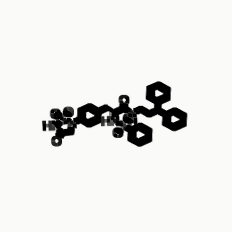 O=C1CN(c2ccc(C[C@H](NS(=O)(=O)c3ccccc3)C(=O)NCCC(c3ccccc3)c3ccccc3)cc2)S(=O)(=O)N1